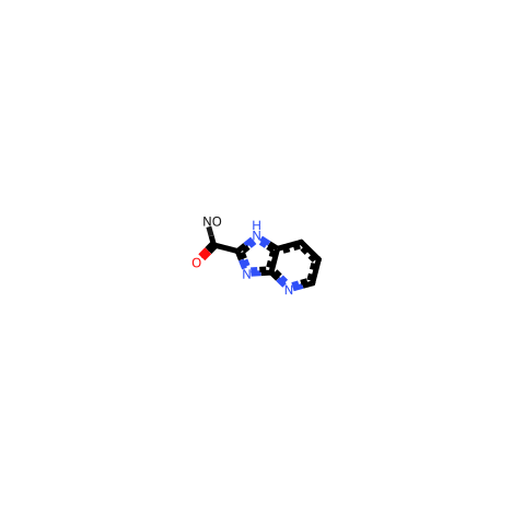 O=NC(=O)c1nc2ncccc2[nH]1